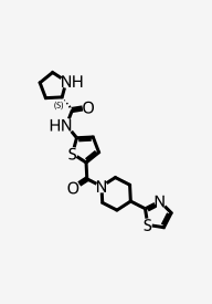 O=C(Nc1ccc(C(=O)N2CCC(c3nccs3)CC2)s1)[C@@H]1CCCN1